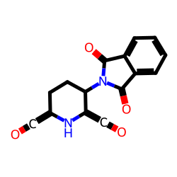 O=C=C1CCC(N2C(=O)c3ccccc3C2=O)C(=C=O)N1